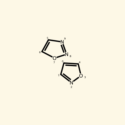 c1cnoc1.c1conn1